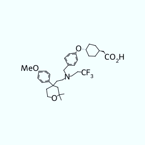 COc1ccc(C2(CCN(CCC(F)(F)F)Cc3ccc(O[C@H]4CC[C@H](CC(=O)O)CC4)cc3)CCOC(C)(C)C2)cc1